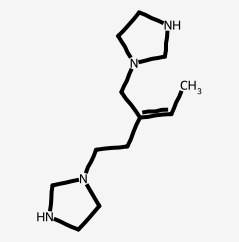 CC=C(CCN1CCNC1)CN1CCNC1